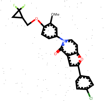 COc1cc(-n2ccc3oc(-c4ccc(Cl)cc4)cc3c2=O)ccc1OCC1CC1(F)F